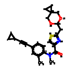 Cc1cc(C#CC2CC2)ccc1N(C)C(=O)c1csc(CC2OCC3(CC3)CO2)n1